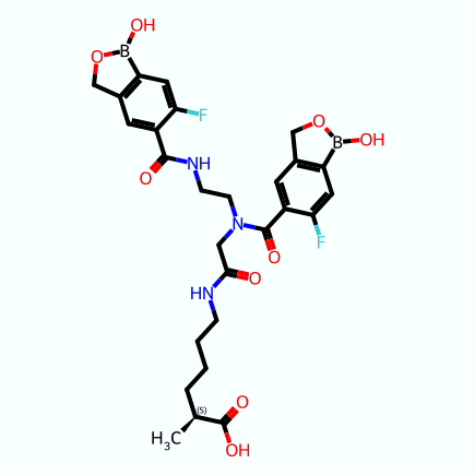 C[C@@H](CCCCNC(=O)CN(CCNC(=O)c1cc2c(cc1F)B(O)OC2)C(=O)c1cc2c(cc1F)B(O)OC2)C(=O)O